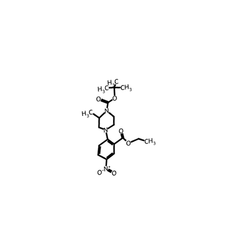 CCOC(=O)c1cc([N+](=O)[O-])ccc1N1CCN(C(=O)OC(C)(C)C)C(C)C1